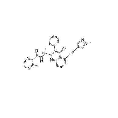 Cc1nccnc1C(=O)N[C@H](C)c1nc2cccc(C#Cc3cnn(C)c3)c2c(=O)n1-c1ccccc1